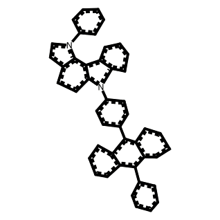 c1ccc(-c2c3ccccc3c(-c3ccc(-n4c5ccccc5c5c6c(ccc54)ccn6-c4ccccc4)cc3)c3ccccc23)cc1